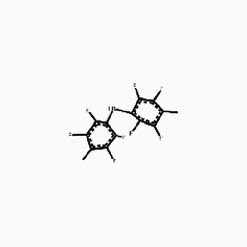 Cc1c(F)c(F)c(Bc2c(F)c(F)c(C)c(F)c2F)c(F)c1F